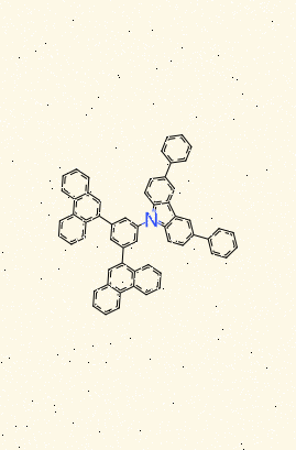 c1ccc(-c2ccc3c(c2)c2cc(-c4ccccc4)ccc2n3-c2cc(-c3cc4ccccc4c4ccccc34)cc(-c3cc4ccccc4c4ccccc34)c2)cc1